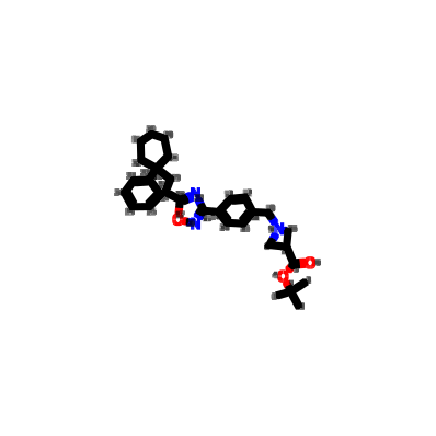 CC(C)(C)OC(=O)C1CN(Cc2ccc(-c3noc(CCC4(c5ccccc5)CCCCC4)n3)cc2)C1